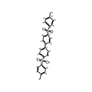 Cc1ccc(S(=O)(=O)c2ccc(-c3ccc(S(=O)(=O)c4ccc(C)cc4)cc3)cc2)cc1